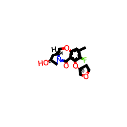 Cc1cc2c(c(O[C@H]3CCOC3)c1F)C(=O)N1C[C@@H](O)C[C@@H]1CO2